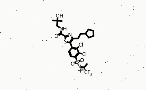 C[C@H](NS(=O)(=O)c1ccc(-c2sc(C(=O)NCC(C)(C)O)nc2CCC2CCCC2)c(Cl)c1Cl)C(F)(F)F